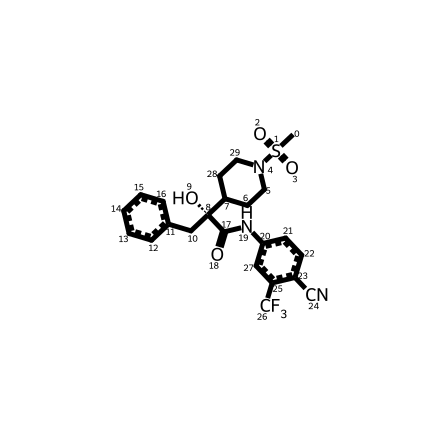 CS(=O)(=O)N1CCC([C@](O)(Cc2ccccc2)C(=O)Nc2ccc(C#N)c(C(F)(F)F)c2)CC1